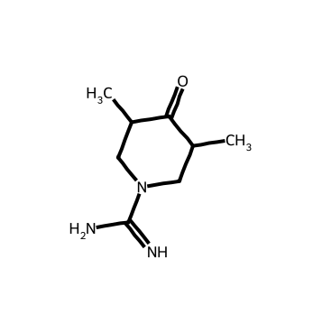 CC1CN(C(=N)N)CC(C)C1=O